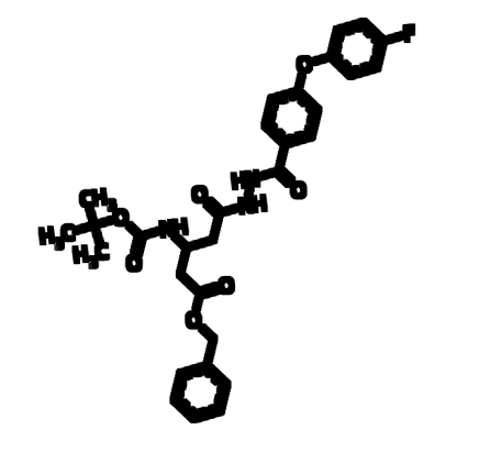 CC(C)(C)OC(=O)NC(CC(=O)NNC(=O)c1ccc(Oc2ccc(F)cc2)cc1)CC(=O)OCc1ccccc1